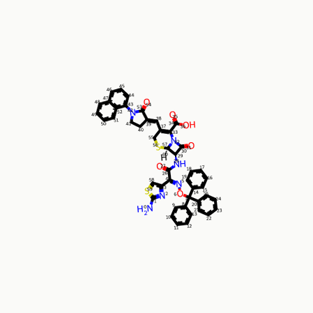 Nc1nc(C(=NOC(c2ccccc2)(c2ccccc2)c2ccccc2)C(=O)N[C@@H]2C(=O)N3C(C(=O)O)=C(C=C4CCN(c5cccc6ccccc56)C4=O)CS[C@H]23)cs1